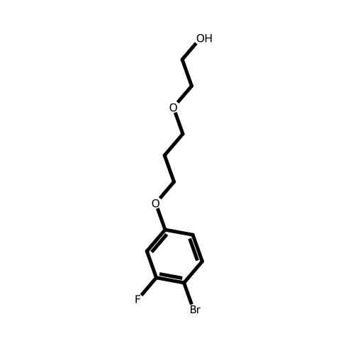 OCCOCCCOc1ccc(Br)c(F)c1